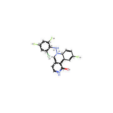 O=c1[nH]ccc2c1=C1C=C(F)C=CC1N(Nc1c(F)cc(F)cc1Cl)C=2